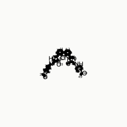 COc1nc(-c2cccc(-c3cccc(-c4cnc(CNC5CC6(C5)CN(C(C)=O)C6)c(OC)n4)c3Cl)c2Cl)cnc1CNC1CCN(C(C)=O)CC1